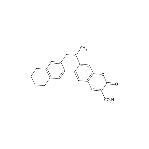 CN(Cc1ccc2c(c1)CCCC2)c1ccc2cc(C(=O)O)c(=O)oc2c1